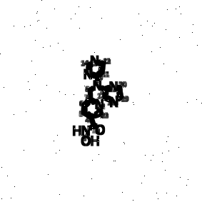 O=C(NO)c1ccc(CN(c2ccncn2)c2cnccn2)nc1